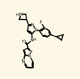 O=C(Nc1cc(C2CNC2)nn1-c1ccc(C2CC2)cc1F)c1cc2ncccn2n1